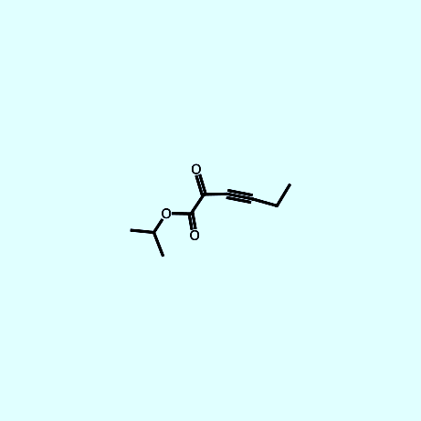 CCC#CC(=O)C(=O)OC(C)C